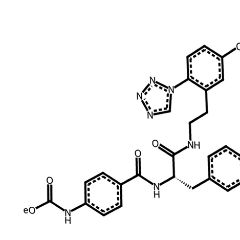 COC(=O)Nc1ccc(C(=O)N[C@@H](Cc2ccccc2)C(=O)NCCc2cc(Cl)ccc2-n2cnnn2)cc1